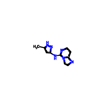 Cc1cc(Nc2nccc3nccn23)n[nH]1